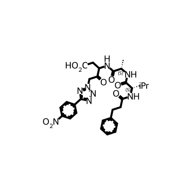 CC(C)[C@H](NC(=O)CCc1ccccc1)C(=O)N[C@@H](C)C(=O)NC(CC(=O)O)C(=O)Cn1nnc(-c2ccc([N+](=O)[O-])cc2)n1